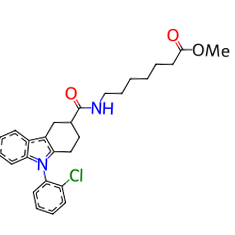 COC(=O)CCCCCCNC(=O)C1CCc2c(c3ccccc3n2-c2ccccc2Cl)C1